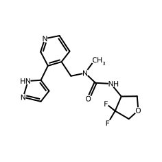 CN(Cc1ccncc1-c1ccn[nH]1)C(=O)NC1COCC1(F)F